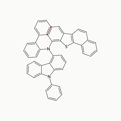 c1ccc(-c2ccccc2N(c2cccc3c2sc2c4ccccc4ccc32)c2cccc3c2c2ccccc2n3-c2ccccc2)cc1